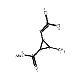 COC(=O)C1C(C)C1C=C(Cl)Cl